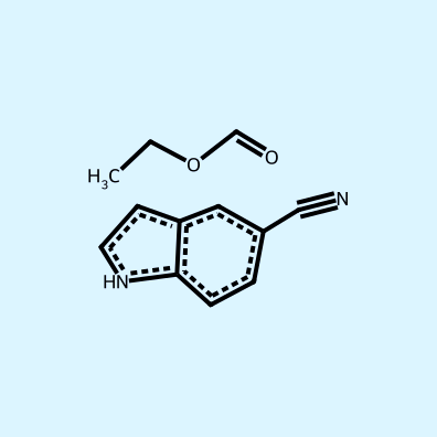 CCOC=O.N#Cc1ccc2[nH]ccc2c1